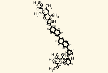 CCCN(C(=O)[C@H](C)NC(=O)OC)[C@@H](C)c1ncc(-c2ccc3cc(-c4ccc5cc(-c6cnc([C@@H]7[C@H]8CC[C@H](C8)N7C(=O)[C@@H](NC(=O)OC)C(C)C)[nH]6)ccc5c4)ccc3c2)[nH]1